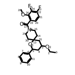 CCOC1CC(c2ccccc2)OC2(CCN(C(=O)c3ccc(F)c(F)c3OC)CC2)C1